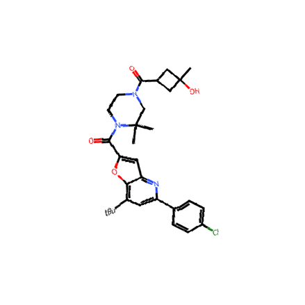 CC1(O)CC(C(=O)N2CCN(C(=O)c3cc4nc(-c5ccc(Cl)cc5)cc(C(C)(C)C)c4o3)C(C)(C)C2)C1